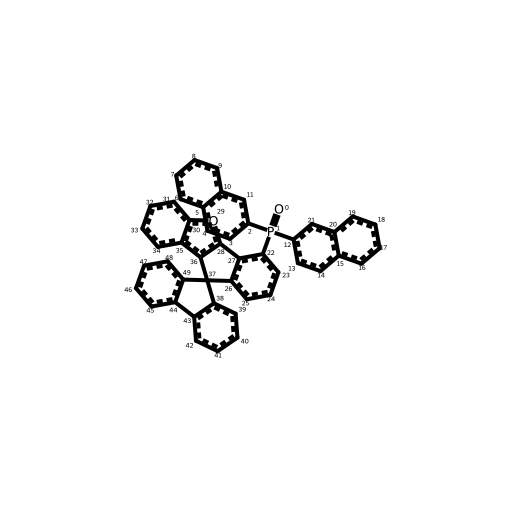 O=P(c1ccc2ccccc2c1)(c1ccc2ccccc2c1)c1cccc2c1-c1oc3ccccc3c1C21c2ccccc2-c2ccccc21